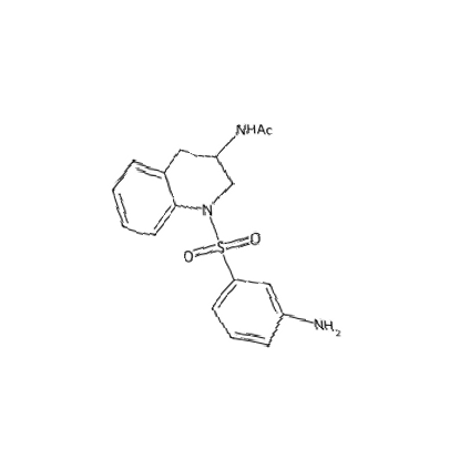 CC(=O)NC1Cc2ccccc2N(S(=O)(=O)c2cccc(N)c2)C1